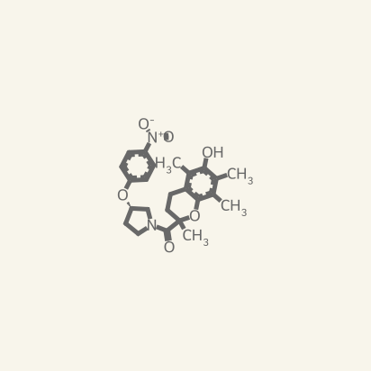 Cc1c(C)c2c(c(C)c1O)CCC(C)(C(=O)N1CC[C@H](Oc3ccc([N+](=O)[O-])cc3)C1)O2